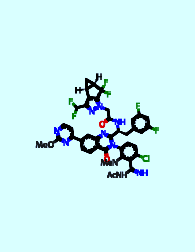 CNc1c(-n2c([C@H](Cc3cc(F)cc(F)c3)NC(=O)Cn3nc(C(F)F)c4c3C(F)(F)[C@@H]3C[C@H]43)nc3cc(-c4ccnc(OC)n4)ccc3c2=O)ccc(Cl)c1C(=N)NC(C)=O